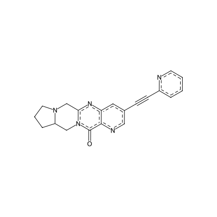 O=c1c2ncc(C#Cc3ccccn3)cc2nc2n1CC1CCCN1C2